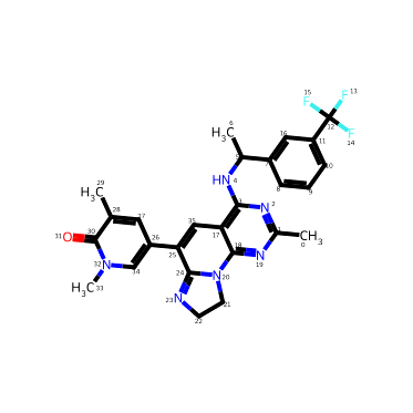 Cc1nc(NC(C)c2cccc(C(F)(F)F)c2)c2c(n1)N1CCN=C1C(c1cc(C)c(=O)n(C)c1)=C2